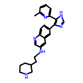 Cc1cccc(-c2[nH]cnc2-c2ccc3ncc(NCCC4CCCNC4)cc3c2)n1